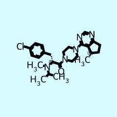 CC(C)N(C)[C@H](Cc1ccc(Cl)cc1)C(=O)N1CCN(c2ncnc3c2[C@H](C)CC3)CC1